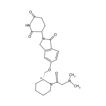 CN(C)CC(=O)N1CCCC[C@@H]1COc1ccc2c(c1)CN(C1CCC(=O)NC1=O)C2=O